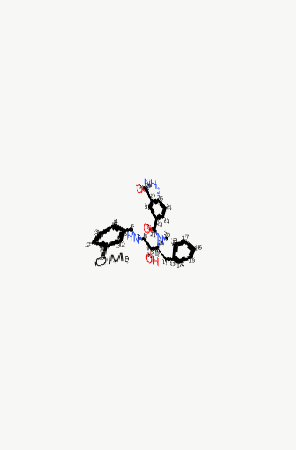 COc1cccc(CNC[C@@H](O)[C@H](Cc2ccccc2)N(C)C(=O)c2cccc(C(N)=O)c2)c1